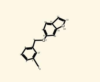 Ic1cccc(COc2ccc3ccoc3c2)c1